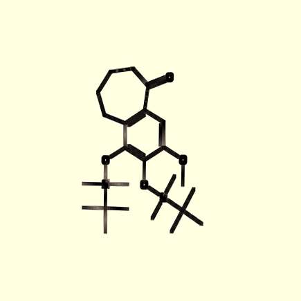 COc1cc2c(c(O[Si](C)(C)C(C)(C)C)c1O[Si](C)(C)C(C)(C)C)CCCCC2=O